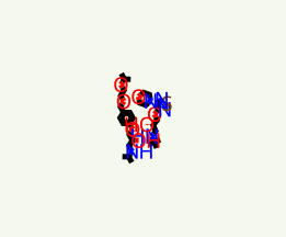 CC(C)(C)NC[C@H](O)COc1nsnc1N1CCOCC1.CC(C)NCC(O)COc1ccc(COCCOC(C)C)cc1